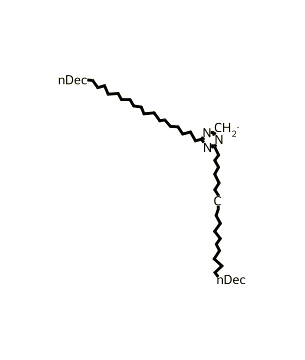 [CH2]c1nc(CCCCCCCCCCCCCCCCCCCCCCCCCCCC)nc(CCCCCCCCCCCCCCCCCCCCCCCCCCCC)n1